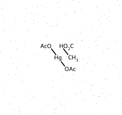 CC(=O)O.CC(=O)[O][Hg][O]C(C)=O